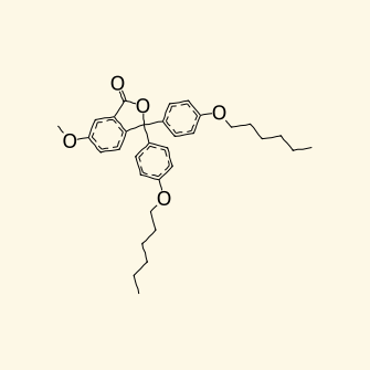 CCCCCCOc1ccc(C2(c3ccc(OCCCCCC)cc3)OC(=O)c3cc(OC)ccc32)cc1